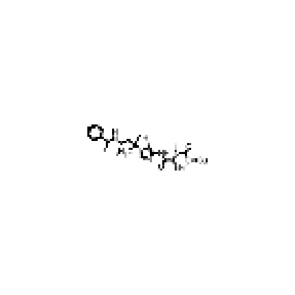 CCCC(NC(=O)OC(C)(C)C)C(=O)Nc1cn(C(C)(C)CCNC(C)c2ccccc2)cn1